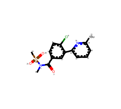 CN(C(=O)c1ccc(Cl)c(-c2cccc(C(C)(C)C)n2)c1)S(C)(=O)=O